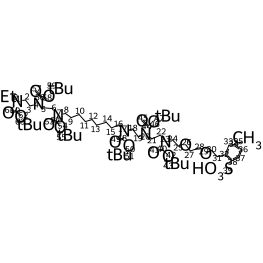 CCN(CCN(CCN(CCCCCCCCCN(CCN(CCN(CCOCCOCCc1cc(C)ccc1S(=O)(=O)O)C(=O)OC(C)(C)C)C(=O)OC(C)(C)C)C(=O)OC(C)(C)C)C(=O)OC(C)(C)C)C(=O)OC(C)(C)C)C(=O)OC(C)(C)C